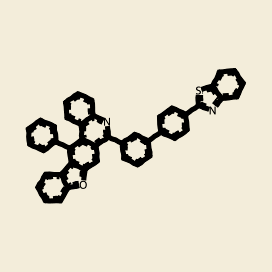 c1ccc(-c2c3c(cc4c(-c5cccc(-c6ccc(-c7nc8ccccc8s7)cc6)c5)nc5ccccc5c24)oc2ccccc23)cc1